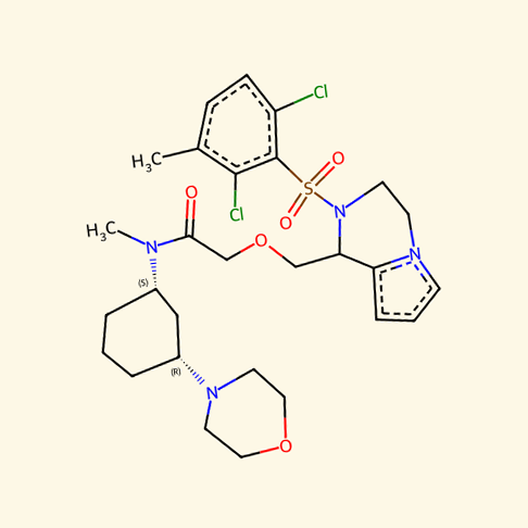 Cc1ccc(Cl)c(S(=O)(=O)N2CCn3cccc3C2COCC(=O)N(C)[C@H]2CCC[C@@H](N3CCOCC3)C2)c1Cl